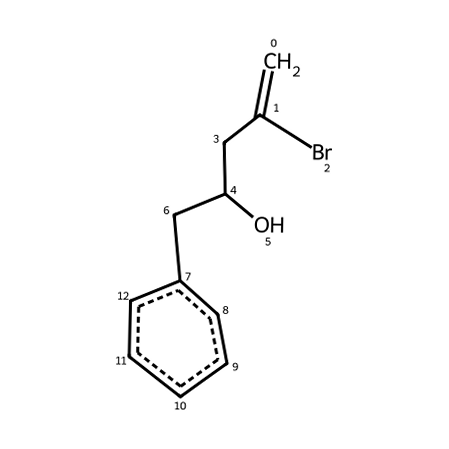 C=C(Br)CC(O)Cc1ccccc1